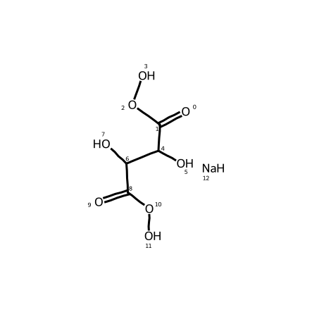 O=C(OO)C(O)C(O)C(=O)OO.[NaH]